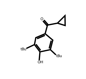 CC(C)(C)c1cc(C(=O)C2CC2)cc(C(C)(C)C)c1O